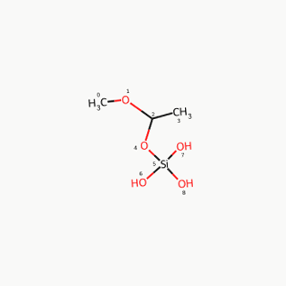 COC(C)O[Si](O)(O)O